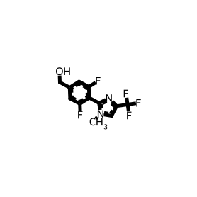 Cn1cc(C(F)(F)F)nc1-c1c(F)cc(CO)cc1F